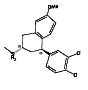 COc1ccc2c(c1)C[C@@H]([SiH2]C)C[C@@H]2c1ccc(Cl)c(Cl)c1